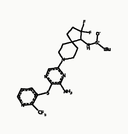 CC(C)(C)[S+]([O-])NC1C(F)(F)CCC12CCN(c1cnc(Sc3cccnc3C(F)(F)F)c(N)n1)CC2